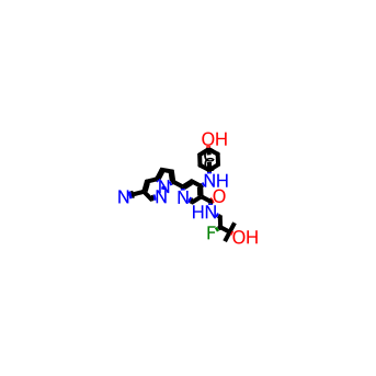 CC(C)(O)C(F)CNC(=O)c1cnc(-c2ccc3cc(C#N)cnn23)cc1NC12CCC(O)(CC1)CC2